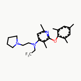 Cc1cc(C)c(Oc2nc(C)cc(N(CCN3CCCC3)CC(F)(F)F)c2C)c(C)c1